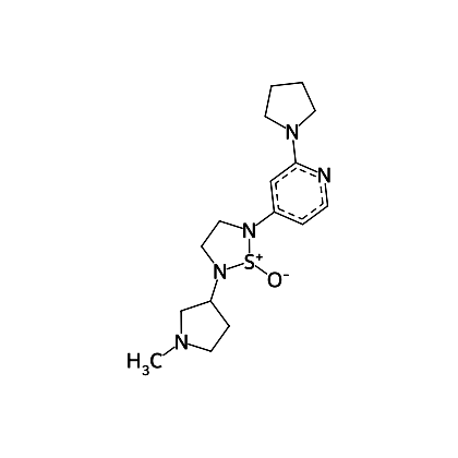 CN1CCC(N2CCN(c3ccnc(N4CCCC4)c3)[S+]2[O-])C1